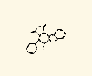 O=C1NC(=O)c2c1c1c(c3oc4ccccc4c23)NC2C=CC=CC12